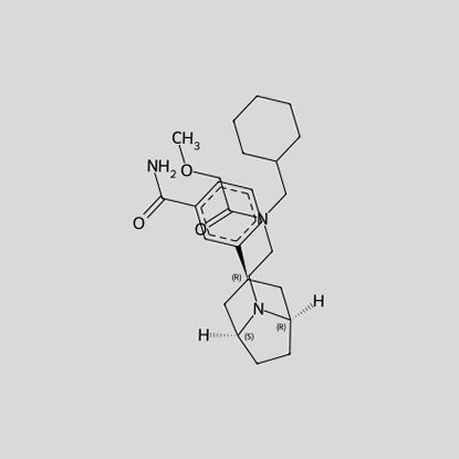 COCC(=O)N(CCN1[C@@H]2CC[C@H]1C[C@@H](c1cccc(C(N)=O)c1)C2)CC1CCCCC1